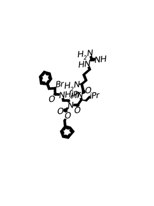 CC(C)C[C@H](NC(=O)[C@@H](N)CCCNC(=N)N)C(=O)N(C(=O)OCc1ccccc1)[C@H](CNC(=O)[C@H](Br)Cc1ccccc1)C(C)C